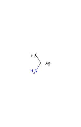 CCN.[Ag]